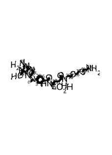 CN(c1ccc(C(=O)N[C@@H](CCC(=O)NCCOCCOCCN)C(=O)O)cc1)c1cnc2nc(N)nc(O)c2n1